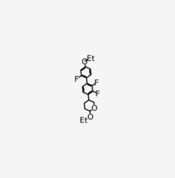 CCOc1ccc(-c2ccc(C3CCC(OCC)OC3)c(F)c2F)c(F)c1